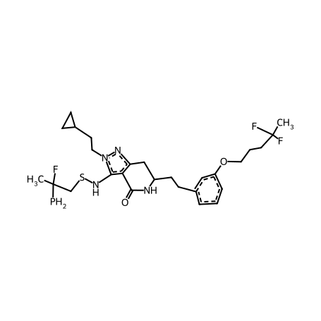 CC(F)(F)CCCOc1cccc(CCC2Cc3nn(CCC4CC4)c(NSCC(C)(F)P)c3C(=O)N2)c1